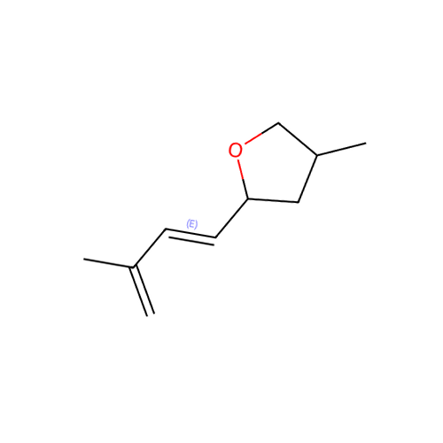 C=C(C)/C=C/C1CC(C)CO1